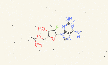 CNc1nc(N)nc2c1ncn2[C@@H]1O[C@H](COC(C)O)[C@@H](O)[C@@]1(C)F